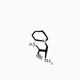 CCCCC(C)C(C)CN1CCCCC1